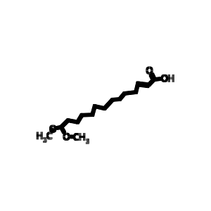 COC(CCCCCCCCCCC=CC(=O)O)OC